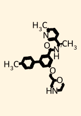 Cc1ccc(-c2cc(OCC3CNCCO3)cc(C(=O)N[C@H](C)c3ccc(C)nc3)c2)cc1